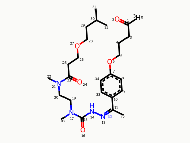 [3H]C(=O)CCCOc1ccc(/C(C)=N\NC(=O)N(C)CCN(C)C(=O)CCOCCC(C)C)cc1